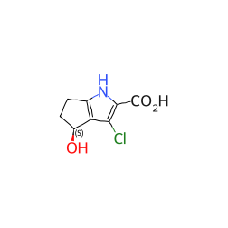 O=C(O)c1[nH]c2c(c1Cl)[C@@H](O)CC2